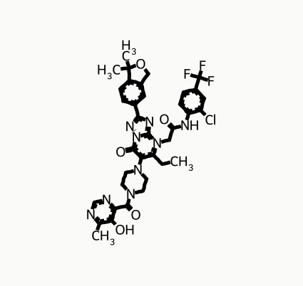 CCc1c(N2CCN(C(=O)c3ncnc(C)c3O)CC2)c(=O)n2nc(-c3ccc4c(c3)COC4(C)C)nc2n1CC(=O)Nc1ccc(C(F)(F)F)cc1Cl